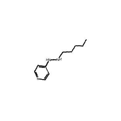 CCCCCNNc1ccncc1